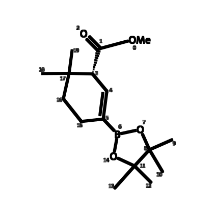 COC(=O)[C@@H]1C=C(B2OC(C)(C)C(C)(C)O2)CCC1(C)C